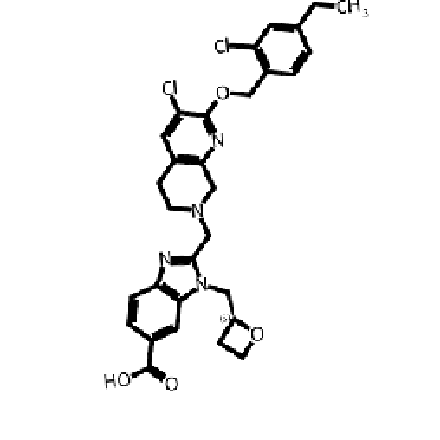 CCc1ccc(COc2nc3c(cc2Cl)CCN(Cc2nc4ccc(C(=O)O)cc4n2C[C@@H]2CCO2)C3)c(Cl)c1